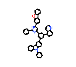 c1ccc(-c2nc(-c3cc(-c4ccc5c(c4)c4ccccc4n5-c4ccccc4)cc(-c4cccc5ncccc45)c3)cc(-c3ccc4c(c3)oc3ccccc34)n2)cc1